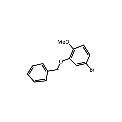 COc1ccc(Br)cc1O[CH]c1ccccc1